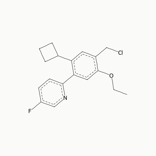 CCOc1cc(-c2ccc(F)cn2)c(C2CCC2)cc1CCl